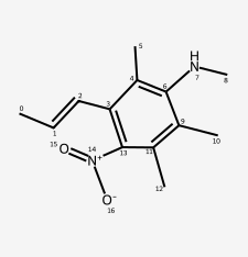 C/C=C/c1c(C)c(NC)c(C)c(C)c1[N+](=O)[O-]